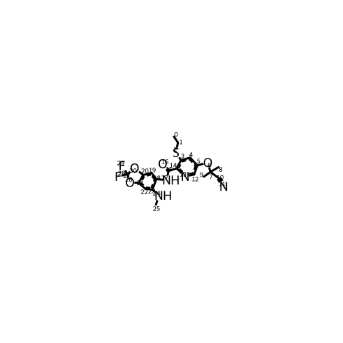 CCSc1cc(OC(C)(C)C#N)cnc1C(=O)Nc1cc2c(cc1NC)OC(F)(F)O2